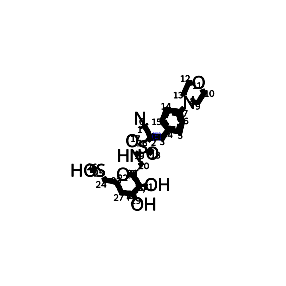 N#C/C(=C\c1ccc(N2CCOCC2)cc1)S(=O)(=O)NC[C@H]1OC(CSO)C[C@@H](O)[C@@H]1O